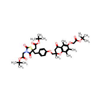 Cc1c(C)c2c(c(C)c1OCC(=O)OC(C)(C)C)C(=O)CC(C)(COc1ccc(CC3(CC(=O)OC(C)(C)C)SC(=O)N(CC(=O)OC(C)(C)C)C3=O)cc1)O2